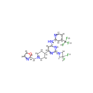 FC1(F)CN(c2nc(Nc3cc(C(F)(F)F)ccn3)cc(C3CCN(Cc4ncco4)CC3)n2)C1